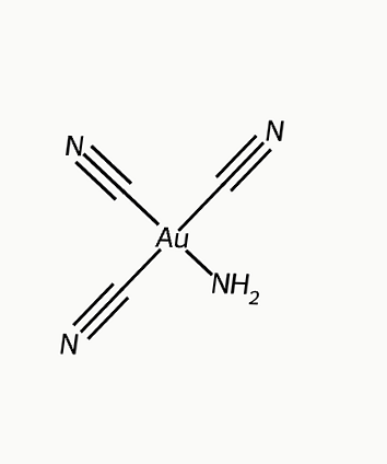 N#[C][Au]([NH2])([C]#N)[C]#N